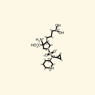 N[C@@]1(C(=O)O)CN(S(=O)(=O)N(C2CC2)[C@@H]2CCCNC2)C[C@@H]1CCCB(O)O